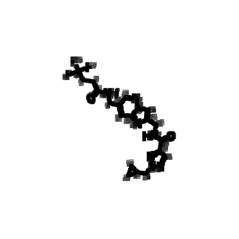 O=C(CCC(F)(F)F)NCc1cnn2cc(CNC(=O)c3cnn(CC4CC4)n3)nc2c1